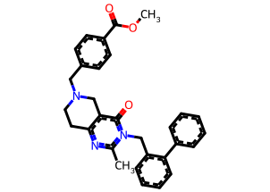 COC(=O)c1ccc(CN2CCc3nc(C)n(Cc4ccccc4-c4ccccc4)c(=O)c3C2)cc1